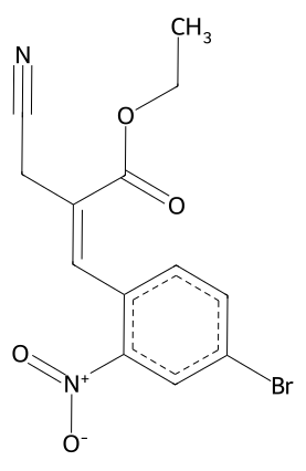 CCOC(=O)C(=Cc1ccc(Br)cc1[N+](=O)[O-])CC#N